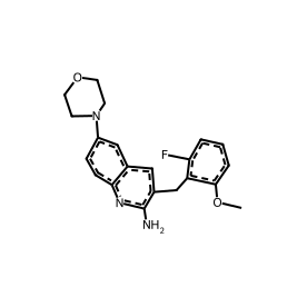 COc1cccc(F)c1Cc1cc2cc(N3CCOCC3)ccc2nc1N